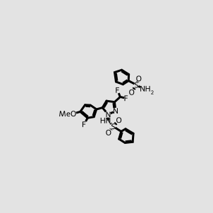 COc1ccc(-c2cc(C(F)F)nn2NS(=O)(=O)c2ccccc2)cc1F.NS(=O)(=O)c1ccccc1